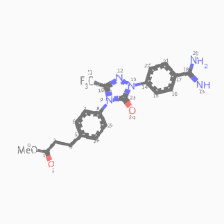 COC(=O)CCc1ccc(-n2c(C(F)(F)F)nn(-c3ccc(C(=N)N)cc3)c2=O)cc1